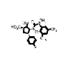 CN(C(=O)N(C)[C@H]1C(C(C)(C)C)N(C(=O)O)C[C@H]1c1ccc(F)cc1)c1cc(C(F)(F)F)cc(C(F)(F)F)c1